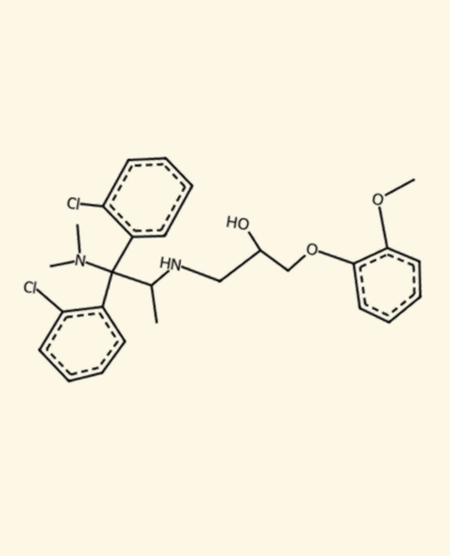 COc1ccccc1OCC(O)CNC(C)C(c1ccccc1Cl)(c1ccccc1Cl)N(C)C